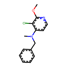 COc1nccc(N(C)Cc2ccccc2)c1Cl